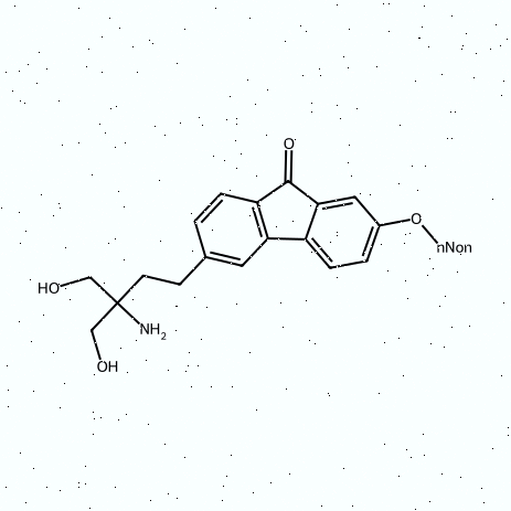 CCCCCCCCCOc1ccc2c(c1)C(=O)c1ccc(CCC(N)(CO)CO)cc1-2